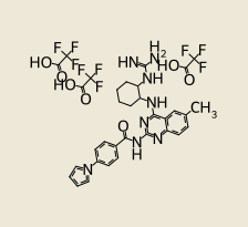 Cc1ccc2nc(NC(=O)c3ccc(-n4cccc4)cc3)nc(NC3CCCCC3NC(=N)N)c2c1.O=C(O)C(F)(F)F.O=C(O)C(F)(F)F.O=C(O)C(F)(F)F